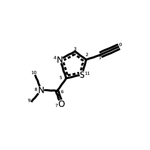 C#Cc1cnc(C(=O)N(C)C)s1